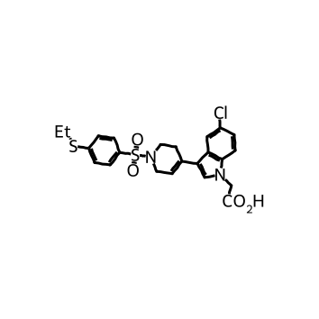 CCSc1ccc(S(=O)(=O)N2CC=C(c3cn(CC(=O)O)c4ccc(Cl)cc34)CC2)cc1